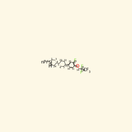 CCC[Si@H]1CC[C@H]([C@H]2CC[C@H](c3ccc(OCC(F)(F)C(F)(F)F)c(F)c3)CC2)CC1